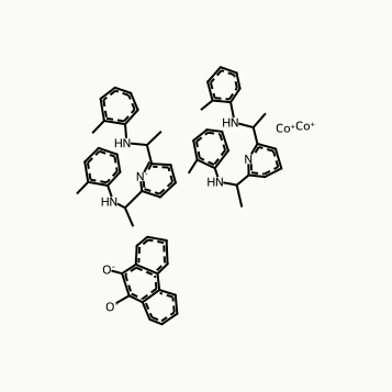 Cc1ccccc1NC(C)c1cccc(C(C)Nc2ccccc2C)n1.Cc1ccccc1NC(C)c1cccc(C(C)Nc2ccccc2C)n1.[Co+].[Co+].[O-]c1c([O-])c2ccccc2c2ccccc12